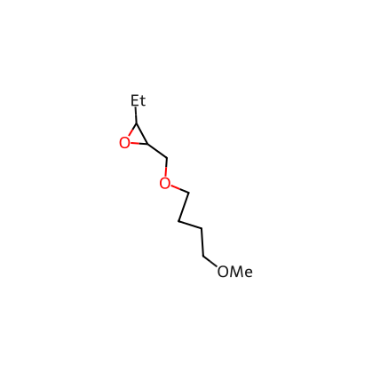 CCC1OC1COCCCCOC